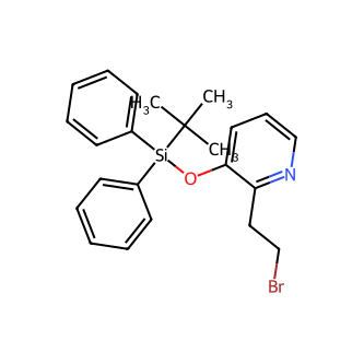 CC(C)(C)[Si](Oc1cccnc1CCBr)(c1ccccc1)c1ccccc1